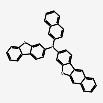 c1ccc2cc(N(c3ccc4c(c3)oc3cc5ccccc5cc34)c3ccc4c(c3)sc3ccccc34)ccc2c1